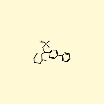 CN1CCCC[C@H]1[C@@H](O[Si](C)(C)C(C)(C)C)c1ccc(-c2ccccn2)cc1